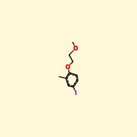 COCCOc1ccc(I)cc1C